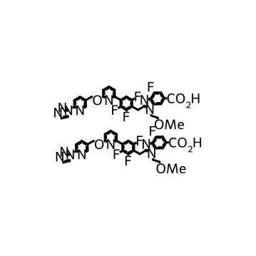 COCCn1c(Cc2c(F)cc(-c3cccc(OCc4ccc(-n5ccnn5)nc4)n3)c(F)c2F)nc2c(F)cc(C(=O)O)cc21.COCCn1c(Cc2c(F)cc(-c3cccc(OCc4ccc(-n5ccnn5)nc4)n3)c(F)c2F)nc2c(F)cc(C(=O)O)cc21